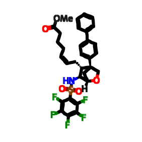 COC(=O)CCC/C=C\C[C@H]1[C@H](NS(=O)(=O)c2c(F)c(F)c(F)c(F)c2F)[C@@H]2C[C@@]1(c1ccc(-c3ccccc3)cc1)CO2